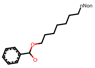 CCCCCCCCCCCCCCCCOC([O])c1ccccc1